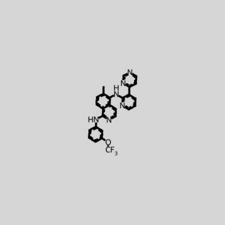 Cc1ccc2c(Nc3cccc(OC(F)(F)F)c3)nccc2c1Nc1ncccc1-c1ccncn1